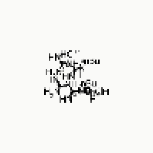 CCCCNC(=N)NC(=N)N.CCCCNC(=N)NC(=N)N.Cl.Cl.F.F